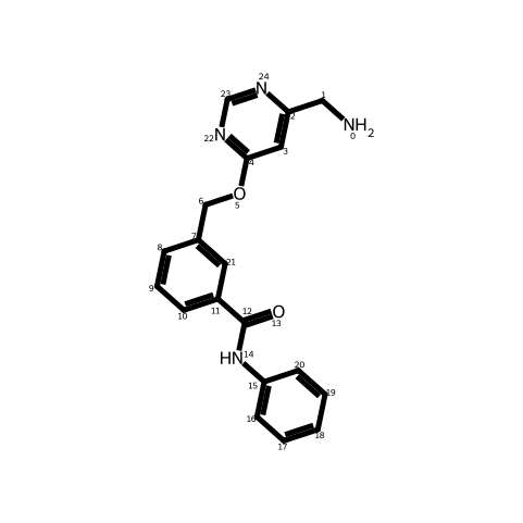 NCc1cc(OCc2cccc(C(=O)Nc3ccccc3)c2)ncn1